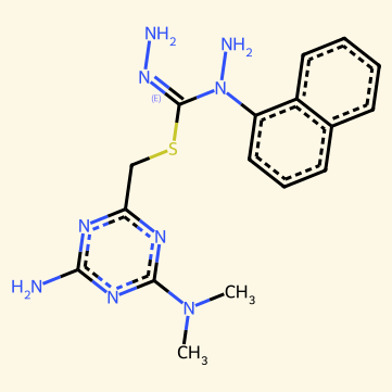 CN(C)c1nc(N)nc(CS/C(=N/N)N(N)c2cccc3ccccc23)n1